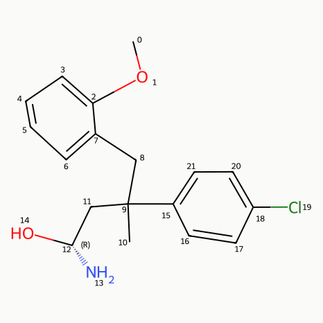 COc1ccccc1CC(C)(C[C@H](N)O)c1ccc(Cl)cc1